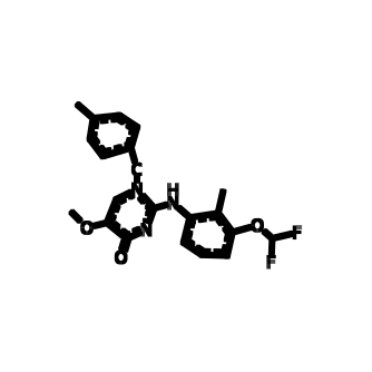 COc1cn(Cc2ccc(C)cc2)c(Nc2cccc(OC(F)F)c2C)nc1=O